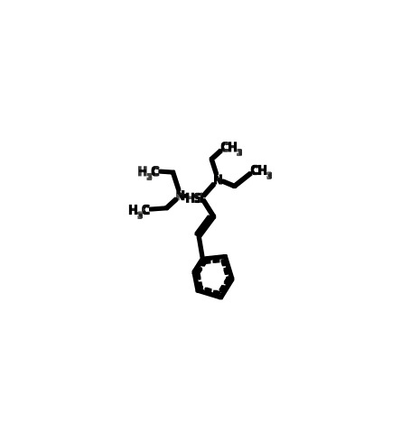 CCN(CC)[SiH](C=Cc1ccccc1)N(CC)CC